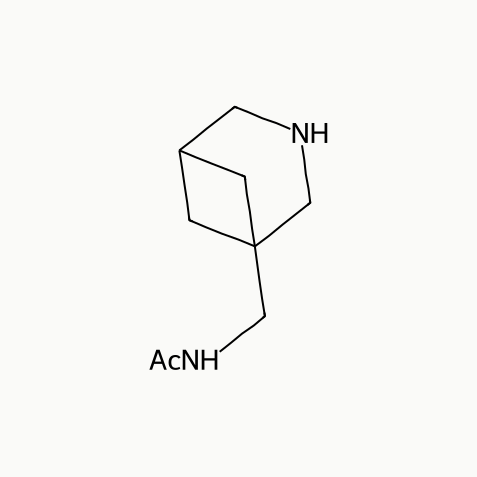 CC(=O)NCC12CNCC(C1)C2